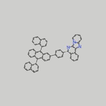 c1ccc2c(-c3c4ccccc4c(-c4cccc5ccccc45)c4cc(-c5ccc(-c6nc7c(nc8ccccn87)c7ccccc67)cc5)ccc34)cccc2c1